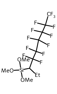 CCC(C(F)(F)C(F)(F)C(F)(F)C(F)(F)C(F)(F)C(F)(F)F)[Si](OC)(OC)OC